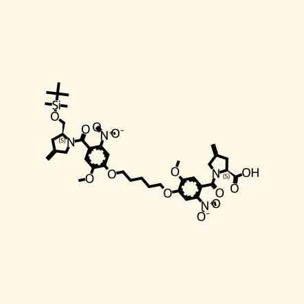 C=C1C[C@@H](CO[Si](C)(C)C(C)(C)C)N(C(=O)c2cc(OC)c(OCCCCCOc3cc([N+](=O)[O-])c(C(=O)N4CC(=C)C[C@H]4C(=O)O)cc3OC)cc2[N+](=O)[O-])C1